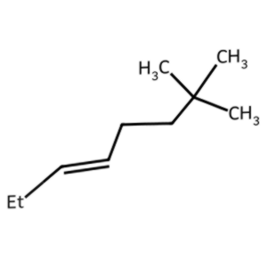 CCC=CCCC(C)(C)C